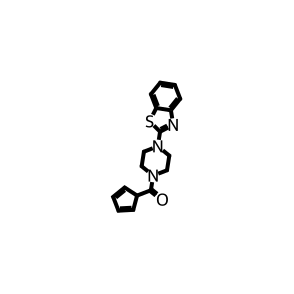 O=C(C1C=CC=C1)N1CCN(c2nc3ccccc3s2)CC1